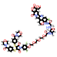 CC[C@@]1(O)C(=O)OCc2c1cc1n(c2=O)Cc2c-1nc1cc(F)c(NC(=O)[C@H](C)NC(=O)[C@](C)(NC(=O)COCCOCCOCCOc3c(F)cc(N4C(=O)C(Sc5ccc(C(=O)N6CCOCC6)cc5)=C(Sc5ccc(C(=O)N6CCOCC6)cc5)C4=O)cc3F)C(C)C)c3c1c2CCO3